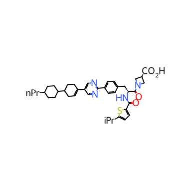 CCCC1CCC(C2CC=C(c3cnc(-c4ccc(C[C@H](NC(=O)c5ccc(C(C)C)s5)C(=O)N5CC(C(=O)O)C5)cc4)nc3)CC2)CC1